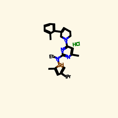 CCN(c1nc(C)cc(N2CCC=C(c3ccccc3C)C2)n1)[SH]1C=C(C(C)C)C=C1C.Cl